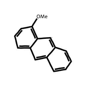 COc1cccc2cc3ccccc3[c]c12